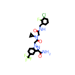 NC(=O)c1nn(CC(=O)N(CC(=O)NCc2cccc(Cl)c2F)C2CC2)c2ccc(C(F)(F)F)cc12